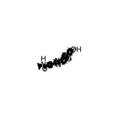 O=C(NC1CC1)c1ccc(-c2cnc(N3CCC[C@]4(CCN([C@H]5CC[C@@H](O)CC5)C4=O)C3)nc2)cc1